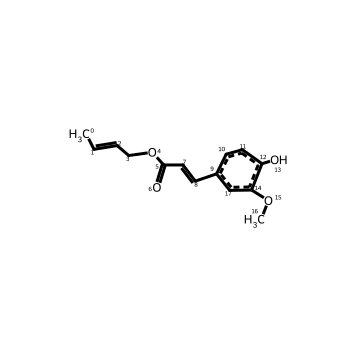 CC=CCOC(=O)C=Cc1ccc(O)c(OC)c1